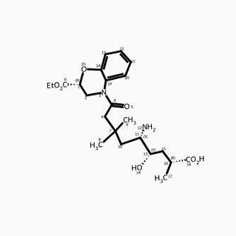 CCOC(=O)[C@H]1CN(C(=O)CC(C)(C)C[C@H](N)[C@@H](O)C[C@@H](C)C(=O)O)c2ccccc2O1